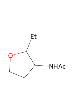 CCC1OCCC1NC(C)=O